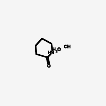 Cl.O.O=C1CCCCN1